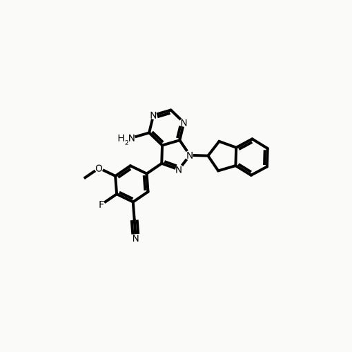 COc1cc(-c2nn(C3Cc4ccccc4C3)c3ncnc(N)c23)cc(C#N)c1F